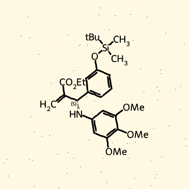 C=C(C(=O)OCC)[C@@H](Nc1cc(OC)c(OC)c(OC)c1)c1cccc(O[Si](C)(C)C(C)(C)C)c1